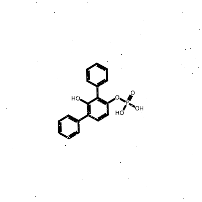 O=P(O)(O)Oc1ccc(-c2ccccc2)c(O)c1-c1ccccc1